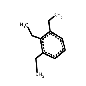 C[CH]c1c(CC)cccc1CC